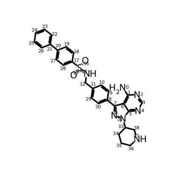 Nc1ncnc2c1c(-c1ccc(CNS(=O)(=O)c3ccc(-c4ccccc4)cc3)cc1)nn2C1CCCNC1